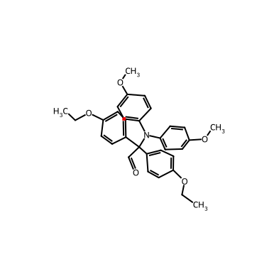 CCOc1ccc(C(C=O)(c2ccc(OCC)cc2)N(c2ccc(OC)cc2)c2ccc(OC)cc2)cc1